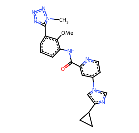 COc1c(NC(=O)c2cc(-n3cnc(C4CC4)c3)ccn2)cccc1-c1nnnn1C